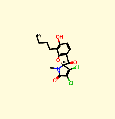 CC(C)CCCc1c(O)ccc2c1O[C@]1(C2=O)C(Cl)=C(Cl)C(=O)N1C